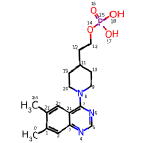 Cc1cc2ncnc(N3CCC(CCOP(=O)(O)O)CC3)c2cc1C